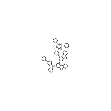 c1ccc(-c2ccc3c(c2)c2ccccc2n3-c2cc(-c3cc(-c4cccc(-c5nc(-c6ccccc6)nc(-c6ccccc6)n5)c4)c4c(c3)oc3ccccc34)c3c(c2)oc2ccccc23)cc1